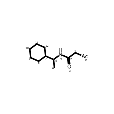 CC(=O)CC(=O)NC(C)C1CCCCC1